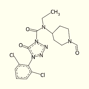 CCN(C(=O)n1nnn(-c2c(Cl)cccc2Cl)c1=O)C1CCN(C=O)CC1